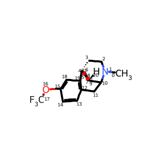 CN1CC[C@@]23CCCC[C@H]2C1Cc1ccc(OC(F)(F)F)cc13